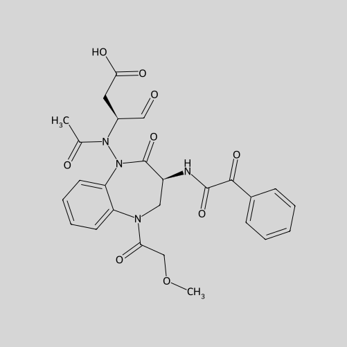 COCC(=O)N1C[C@H](NC(=O)C(=O)c2ccccc2)C(=O)N(N(C(C)=O)[C@H](C=O)CC(=O)O)c2ccccc21